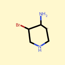 NC1[C]CNCC1Br